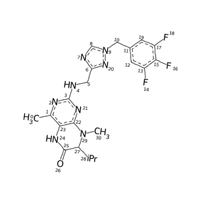 Cc1nc(NCc2ncn(Cc3cc(F)c(F)c(F)c3)n2)nc2c1NC(=O)C(C(C)C)N2C